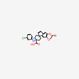 O=C(O)C1(Nc2cccc(Cl)c2)CCC2(C=Cc3cc4c(cc32)OCC(Br)O4)CC1